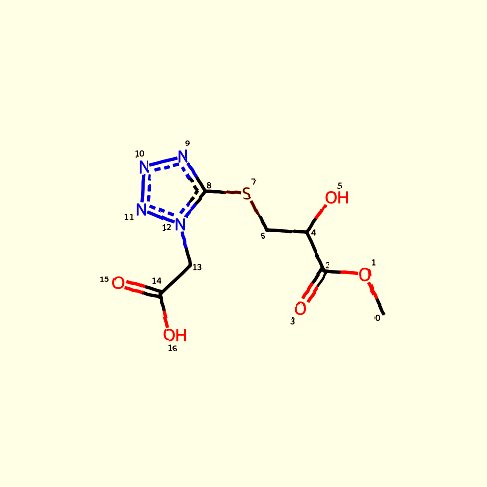 COC(=O)C(O)CSc1nnnn1CC(=O)O